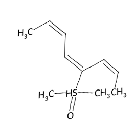 C\C=C/C=C(\C=C/C)[SH](C)(C)=O